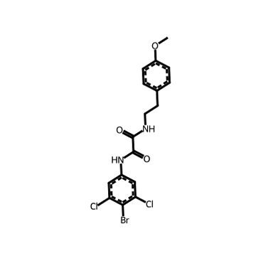 COc1ccc(CCNC(=O)C(=O)Nc2cc(Cl)c(Br)c(Cl)c2)cc1